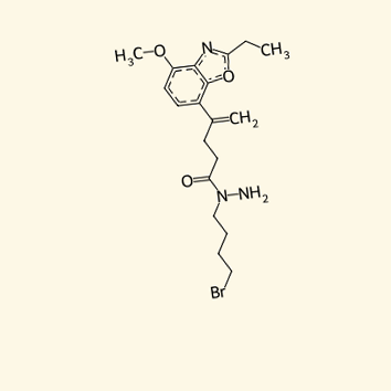 C=C(CCC(=O)N(N)CCCCBr)c1ccc(OC)c2nc(CC)oc12